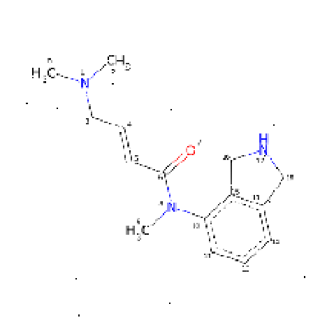 CN(C)C/C=C/C(=O)N(C)c1cccc2c1CNC2